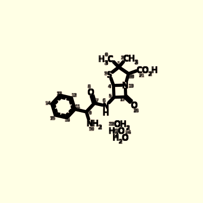 CC1(C)SC2C(NC(=O)C(N)c3ccccc3)C(=O)N2C1C(=O)O.O.O.O